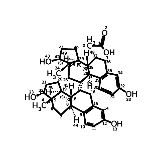 CC(=O)O.C[C@]12CC[C@@H]3c4ccc(O)cc4CC[C@H]3[C@@H]1CC[C@@H]2O.C[C@]12CC[C@@H]3c4ccc(O)cc4CC[C@H]3[C@@H]1CC[C@@H]2O